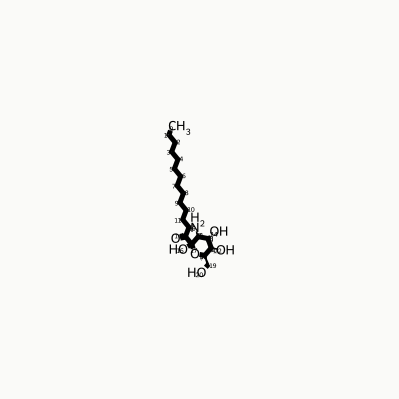 CCCCCCCCCCCCCC(=O)C1(O)O[C@H](CO)[C@@H](O)[C@H](O)[C@H]1N